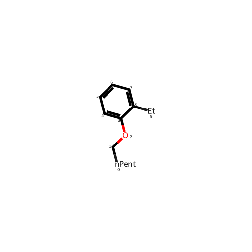 CCCCCCOc1ccccc1CC